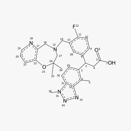 Cc1c(C(CC(=O)O)c2ccc(F)c(CN3Cc4ncccc4OC(C)(C)C3)c2)ccc2c1nnn2C